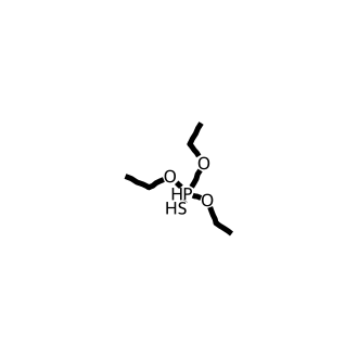 CCO[PH](S)(OCC)OCC